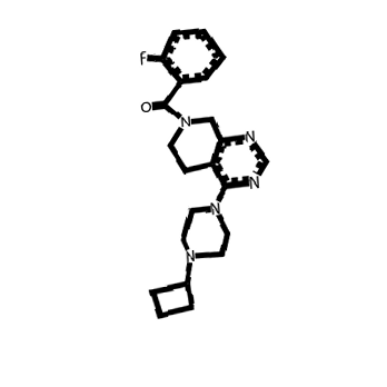 O=C(c1ccccc1F)N1CCc2c(ncnc2N2CCN(C3CCC3)CC2)C1